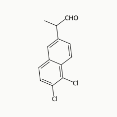 CC(C=O)c1ccc2c(Cl)c(Cl)ccc2c1